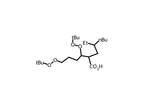 CCCCC(CC)CC(C(=O)O)C(CCCOOC(C)(C)C)OOC(C)(C)C